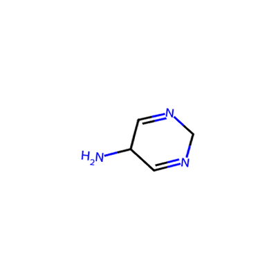 NC1C=NCN=C1